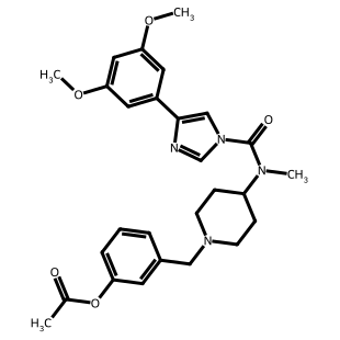 COc1cc(OC)cc(-c2cn(C(=O)N(C)C3CCN(Cc4cccc(OC(C)=O)c4)CC3)cn2)c1